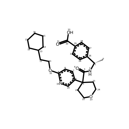 C[C@H](NC(=O)C1(c2ccc(OCCC3CCCCC3)nc2)CCOCC1)c1ccc(C(=O)O)cc1